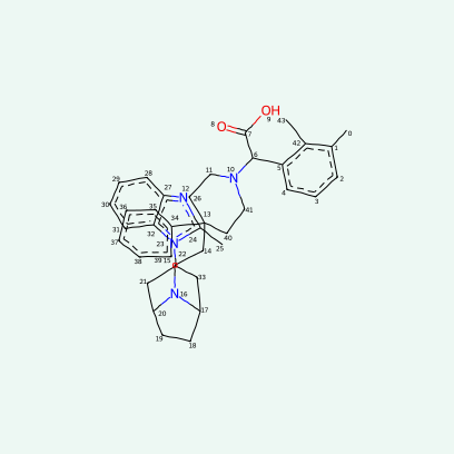 Cc1cccc(C(C(=O)O)N2CCC(CCN3C4CCC3CC(n3c(C)nc5ccccc53)C4)(c3ccccc3)CC2)c1C